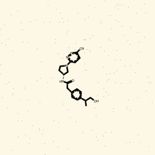 CC(CO)c1ccc(CC(=O)N[C@@H]2CCN(c3ccc(C#N)nn3)C2)cc1